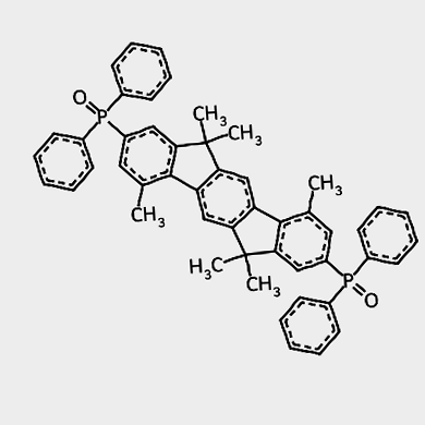 Cc1cc(P(=O)(c2ccccc2)c2ccccc2)cc2c1-c1cc3c(cc1C2(C)C)-c1c(C)cc(P(=O)(c2ccccc2)c2ccccc2)cc1C3(C)C